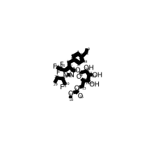 CCc1ccc(Cc2c(OC3OC(COC(=O)OC)C(O)C(O)C3O)nn(C(CC)CF)c2C(F)(F)F)cc1